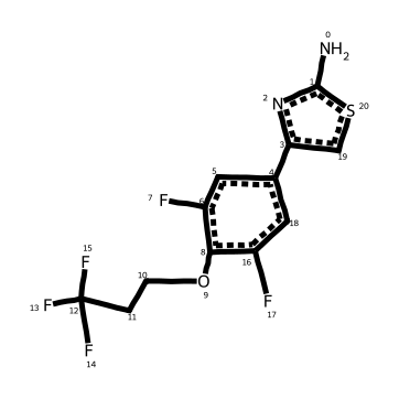 Nc1nc(-c2cc(F)c(OCCC(F)(F)F)c(F)c2)cs1